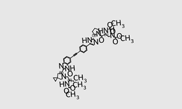 COC(=O)NC[C@H](NC(=O)OC)C(=O)N1CCC[C@H]1c1ncc(-c2ccc(C#Cc3ccc4nc([C@@H]5CC6(CC6)CN5C(=O)[C@H](NC(=O)OC)C(C)C)[nH]c4c3)cc2)[nH]1